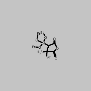 CCCC1([SiH3])C(=O)OC(=O)C1[Si](OCC)(OCC)OCC